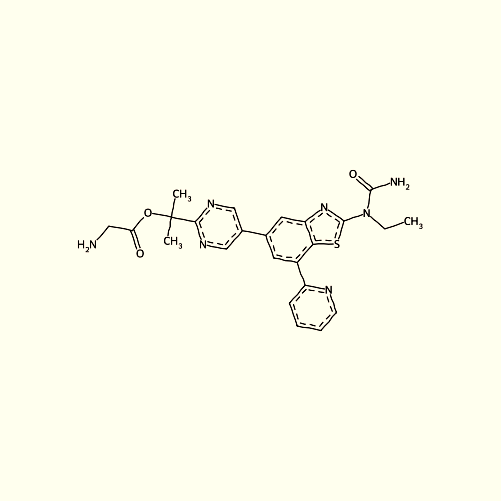 CCN(C(N)=O)c1nc2cc(-c3cnc(C(C)(C)OC(=O)CN)nc3)cc(-c3ccccn3)c2s1